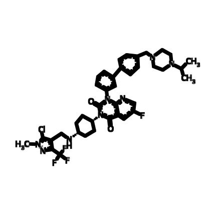 CC(C)N1CCN(Cc2ccc(-c3cccc(-n4c(=O)n([C@H]5CC[C@@H](NCc6c(C(F)(F)F)nn(C)c6Cl)CC5)c(=O)c5cc(F)cnc54)c3)cc2)CC1